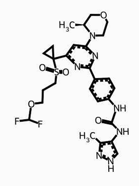 Cc1n[nH]cc1NC(=O)Nc1ccc(-c2nc(N3CCOC[C@@H]3C)cc(C3(S(=O)(=O)CCCOC(F)F)CC3)n2)cc1